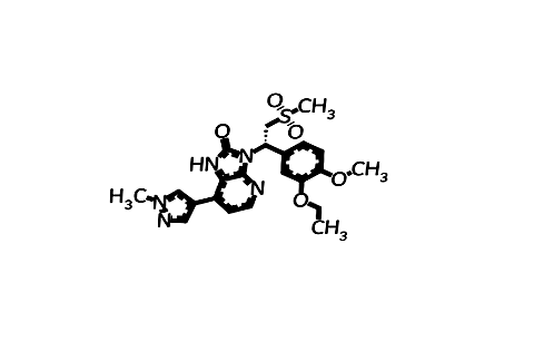 CCOc1cc([C@@H](CS(C)(=O)=O)n2c(=O)[nH]c3c(-c4cnn(C)c4)ccnc32)ccc1OC